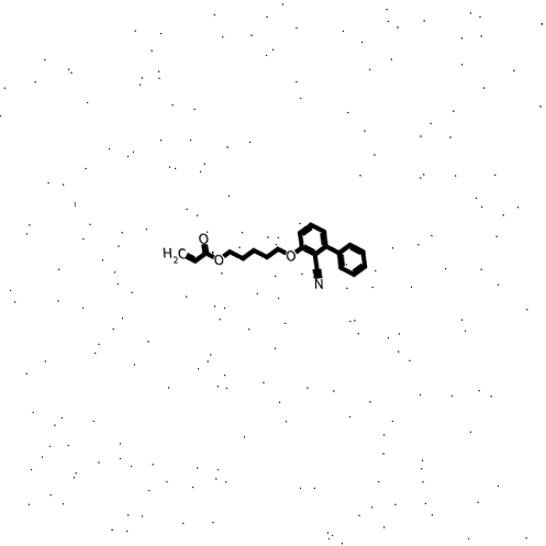 C=CC(=O)OCCCCCOc1cccc(-c2ccccc2)c1C#N